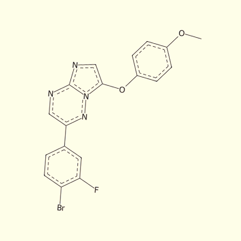 COc1ccc(Oc2cnc3ncc(-c4ccc(Br)c(F)c4)nn23)cc1